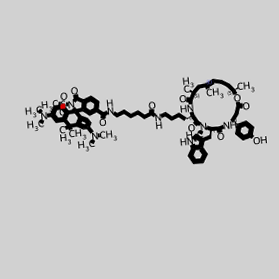 C/C1=C\CC[C@H](C)OC(=O)C[C@H](c2ccc(O)cc2)NC(=O)[C@@H](Cc2c[nH]c3ccccc23)N(C)C(=O)[C@H](CCCCNC(=O)CCCCCNC(=O)c2ccc3c(c2)C2(c4ccc(N(C)C)cc4C(C)(C)c4cc(N(C)C)ccc42)N(S(C)(=O)=O)C3=O)NC(=O)[C@@H](C)C1